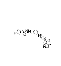 Cc1ccnc(C)c1C(=O)N1CC2CN(c3cccc(CCCNC(=O)Cc4ccc(F)cc4)c3)CC2C1